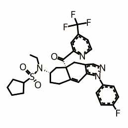 CCN([C@H]1CCC2=Cc3c(cnn3-c3ccc(F)cc3)C[C@]2(C(=O)c2cc(C(F)(F)F)ccn2)C1)S(=O)(=O)C1CCCC1